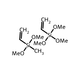 C=C[Si](C)(OC)OC.C=C[Si](OC)(OC)OC